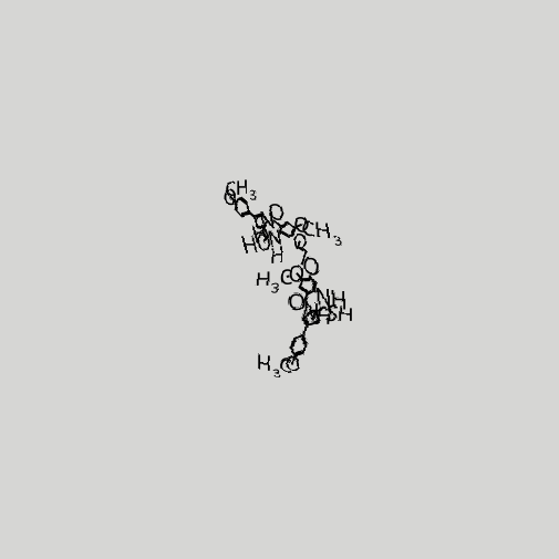 COc1ccc(C2=CN3C(=O)c4cc(OC)c(OCCCOc5cc6c(cc5OC)C(=O)N5C=C(c7ccc(OC)cc7)C[C@H]5C(S)N6)cc4NC(O)[C@@H]3C2)cc1